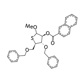 COC1S[C@H](COCc2ccccc2)[C@@H](OCc2ccccc2)[C@@H]1OC(=O)c1ccc2ccccc2c1